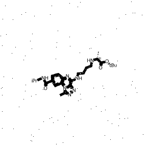 Cc1nnc2c(NCCCCN[C@H](C)C(=O)OC(C)(C)C)nc3ccc(C(=O)NC(C)C)cc3n12